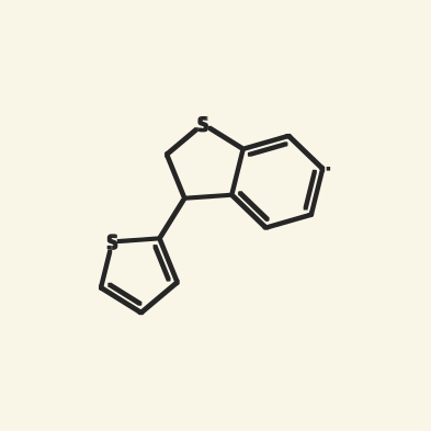 [c]1ccc2c(c1)SCC2c1cccs1